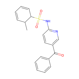 CC1C=CC=CC1S(=O)(=O)Nc1ccc(C(=O)c2ccccc2)cn1